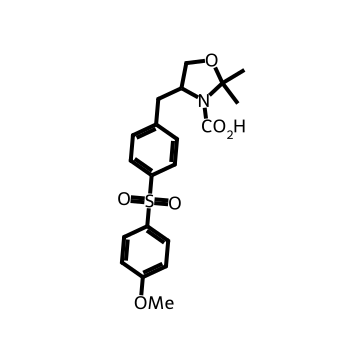 COc1ccc(S(=O)(=O)c2ccc(CC3COC(C)(C)N3C(=O)O)cc2)cc1